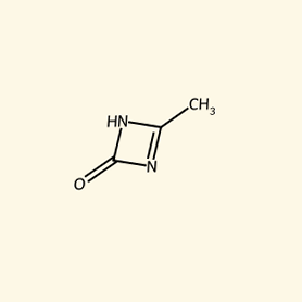 CC1=NC(=O)N1